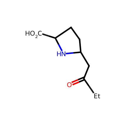 CCC(=O)CC1CCC(C(=O)O)N1